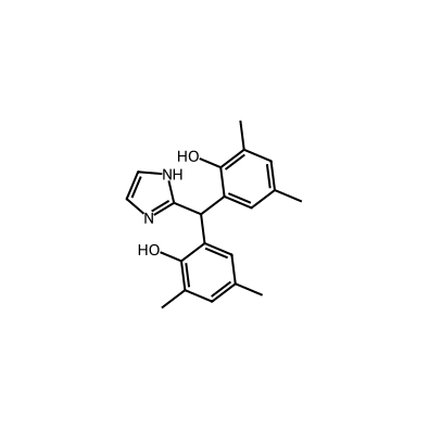 Cc1cc(C)c(O)c(C(c2ncc[nH]2)c2cc(C)cc(C)c2O)c1